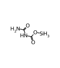 NC(=O)NC(=O)O[SiH3]